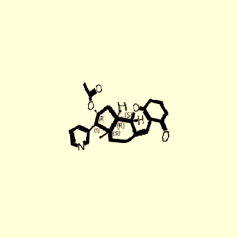 CC(=O)O[C@@H]1C[C@H]2[C@@H]3OC4=C(C=C3CC[C@]2(C)[C@H]1c1cccnc1)C(=O)CCC4